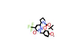 COc1ccc(Cn2nc(C3CCCN3C(=O)OC(C)(C)C)cc(C(F)(F)F)c2=O)cc1